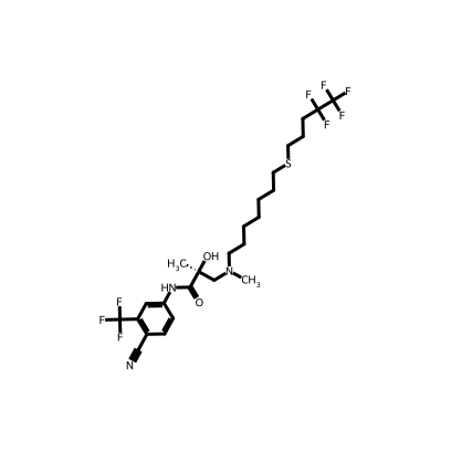 CN(CCCCCCCSCCCC(F)(F)C(F)(F)F)C[C@](C)(O)C(=O)Nc1ccc(C#N)c(C(F)(F)F)c1